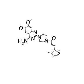 COc1cc2nc(N3CCN(C(=O)C=Cc4sccc4C)CC3)nc(N)c2cc1OC